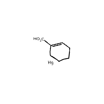 O=C(O)C1=CCCCC1.[Hg]